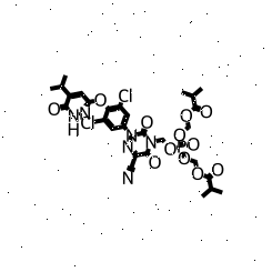 CC(C)C(=O)OCOP(=O)(OCOC(=O)C(C)C)OCn1c(=O)c(C#N)nn(-c2cc(Cl)c(Oc3cc(C(C)C)c(=O)[nH]n3)c(Cl)c2)c1=O